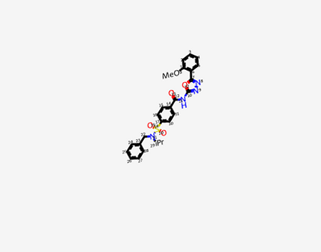 COc1ccccc1-c1nnc(NC(=O)c2ccc(S(=O)(=O)N(Cc3ccccc3)C(C)C)cc2)o1